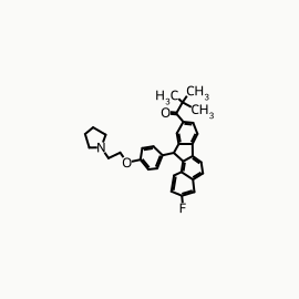 CC(C)(C)C(=O)c1ccc2c(c1)C(c1ccc(OCCN3CCCC3)cc1)c1c-2ccc2cc(F)ccc12